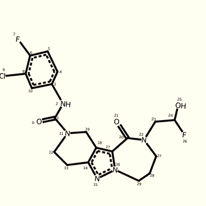 O=C(Nc1ccc(F)c(Cl)c1)N1CCc2nn3c(c2C1)C(=O)N(CC(O)F)CCC3